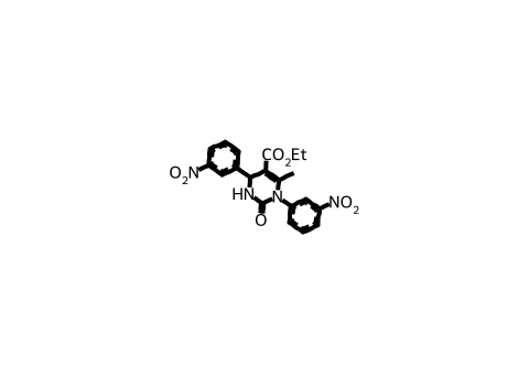 CCOC(=O)C1=C(C)N(c2cccc([N+](=O)[O-])c2)C(=O)NC1c1cccc([N+](=O)[O-])c1